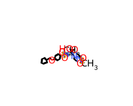 CN(C[C@@H](C(=O)O)N1CCN(S(C)(=O)=O)CC1)S(=O)(=O)c1ccc(OCc2ccccc2)cc1